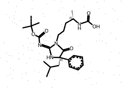 CC(C)C[C@]1(c2ccccc2)NC(=NC(=O)OC(C)(C)C)N(CCC[C@H](C)NC(=O)O)C1=O